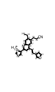 Cn1cncc1-c1cc(/C=C/c2ccoc2)c2cc(CCC#N)c(CI)cc2n1